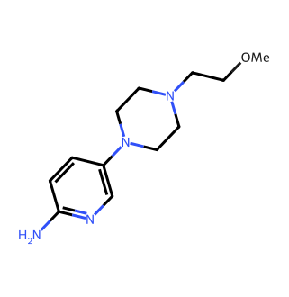 COCCN1CCN(c2ccc(N)nc2)CC1